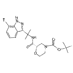 CC(C)(C)OC(=O)N1CCO[C@H](C(=O)NC(C)(C)c2n[nH]c3c(F)cccc23)C1